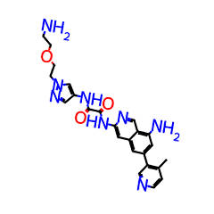 Cc1ccncc1-c1cc(N)c2cnc(NC(=O)C(=O)Nc3cnn(CCOCCN)c3)cc2c1